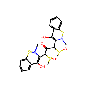 CN1Sc2ccccc2C(O)=C1C(C(=O)C(C1=C(O)c2ccccc2SN1C)[S+](C)[O-])[S+](C)[O-]